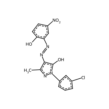 Cc1nn(-c2cccc(Cl)c2)c(O)c1N=Nc1cc([N+](=O)[O-])ccc1O